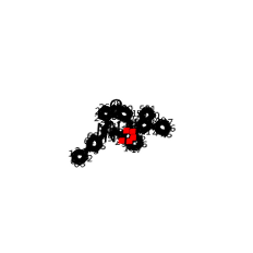 c1ccc(-c2ccc(-c3nc(-c4ccc5ccccc5c4)nc(-c4cccc5oc6ccc(-n7c8ccccc8c8cc(-c9ccccc9)c9ccccc9c87)cc6c45)n3)cc2)cc1